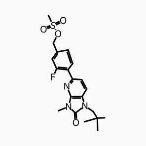 Cn1c(=O)n(CC(C)(C)C)c2ccc(-c3ccc(COS(C)(=O)=O)cc3F)nc21